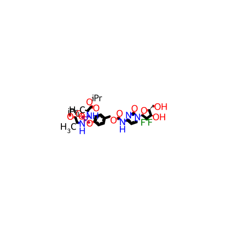 CC(C)OC(=O)[C@H](C)NP(=O)(N[C@@H](C)C(=O)OC(C)C)Oc1ccc(COC(=O)Nc2ccn([C@@H]3O[C@H](CO)[C@@H](O)C3(F)F)c(=O)n2)cc1